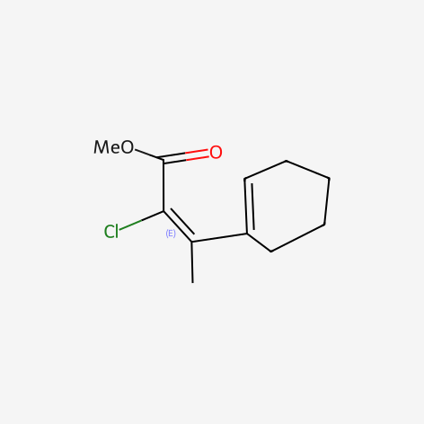 COC(=O)/C(Cl)=C(/C)C1=CCCCC1